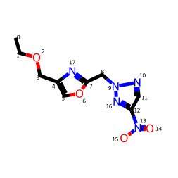 CCOCc1coc(Cn2ncc([N+](=O)[O-])n2)n1